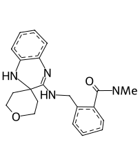 CNC(=O)c1ccccc1CNC1=Nc2ccccc2NC12CCOCC2